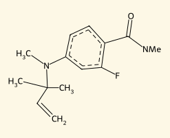 C=CC(C)(C)N(C)c1ccc(C(=O)NC)c(F)c1